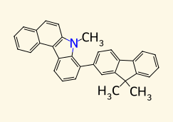 Cn1c2ccc3ccccc3c2c2cccc(-c3ccc4c(c3)C(C)(C)c3ccccc3-4)c21